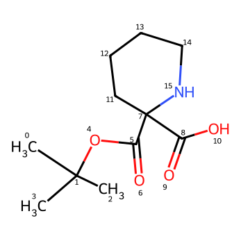 CC(C)(C)OC(=O)C1(C(=O)O)CCCCN1